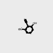 C#Cc1c(S)cccc1C(C)(C)C